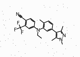 CCN(c1ccc(C#N)c(C(F)(F)F)c1)c1cc(-c2c(C)nn(C)c2C)ccc1C